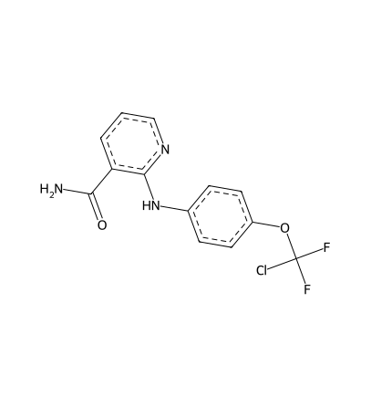 NC(=O)c1cccnc1Nc1ccc(OC(F)(F)Cl)cc1